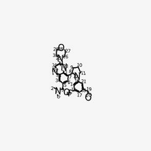 CN(C)C(=O)c1cc(C2CCCN2c2cc(F)cc(C=O)c2)c2nc(N3CCOCC3)cnc2c1